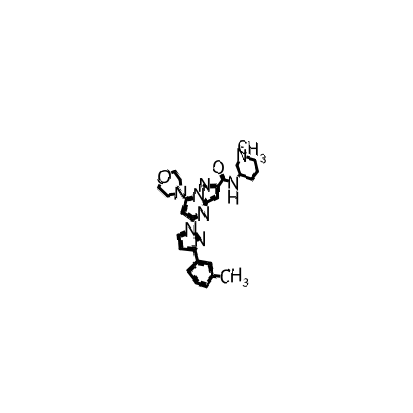 Cc1cccc(-c2ccn(-c3cc(N4CCOCC4)n4nc(C(=O)N[C@@H]5CCCN(C)C5)cc4n3)n2)c1